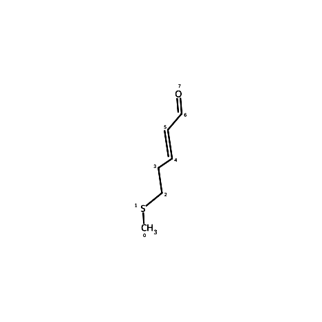 CSCCC=CC=O